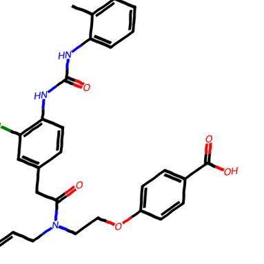 C=CCN(CCOc1ccc(C(=O)O)cc1)C(=O)Cc1ccc(NC(=O)Nc2ccccc2C)c(Cl)c1